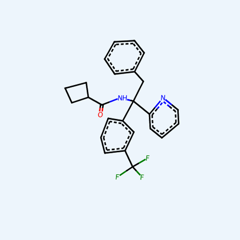 O=C(NC(Cc1ccccc1)(c1cccc(C(F)(F)F)c1)c1ccccn1)C1CCC1